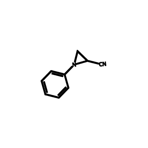 N#CC1CN1c1ccccc1